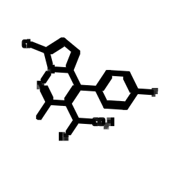 CCC(C(=O)O)c1c(C)nn2c(Cl)ccc2c1-c1ccc(F)cc1